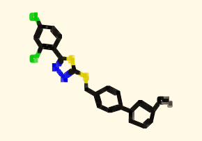 Cc1cccc(-c2ccc(CSc3nnc(-c4ccc(Cl)cc4Cl)s3)cc2)c1